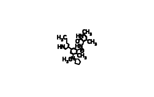 CCC/C=C(\C=N)c1cc(C(=O)NCc2c(C)cc(C)[nH]c2=O)c(C)c(N(C)C2CCCC2)c1